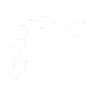 CCN(CC)CCN1CCN(C(=O)c2cc3cc(-c4nc5cscc5[nH]c4=O)[nH]c3cc2F)CC1